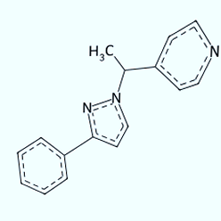 CC(c1ccncc1)n1ccc(-c2ccccc2)n1